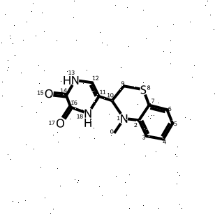 CN1c2ccccc2SCC1c1c[nH]c(=O)c(=O)[nH]1